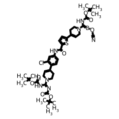 CC(C)(C)OC(=O)N=C(NC(=O)OC(C)(C)C)N1CC=C(c2ccc(NC(=O)c3ccc(C4=CCN(C(=BOC#N)NC(=O)OC(C)(C)C)CC4)s3)cc2Cl)CC1